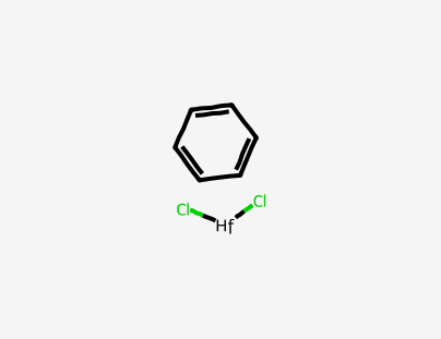 [Cl][Hf][Cl].c1ccccc1